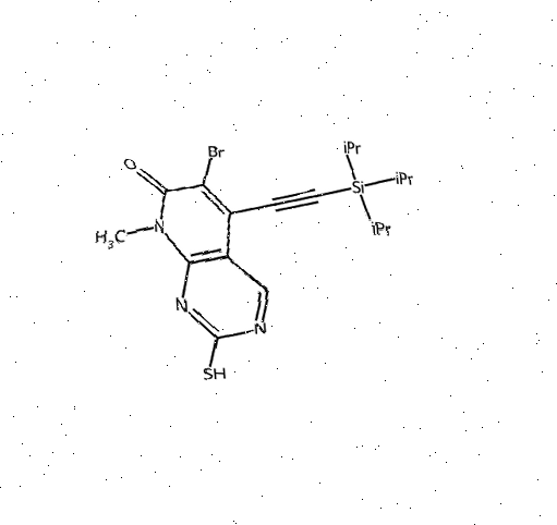 CC(C)[Si](C#Cc1c(Br)c(=O)n(C)c2nc(S)ncc12)(C(C)C)C(C)C